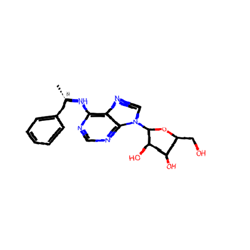 C[C@H](Nc1ncnc2c1ncn2C1OC(CO)C(O)C1O)c1ccccc1